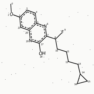 COc1ccc2nc(C(F)CCCCC3CC3)c(O)nc2c1